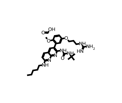 CCCCCNc1ccc2cc(-c3cc(OCCCNC(=N)N)ccc3OC)c(NC(=O)NC(C)(C)C)nc2n1.O=CO